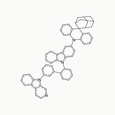 c1cc(-c2ccccc2-n2c3ccccc3c3cc(N4c5ccccc5C5(c6ccccc64)C4CC6CC(C4)CC5C6)ccc32)cc(-n2c3ccccc3c3ccncc32)c1